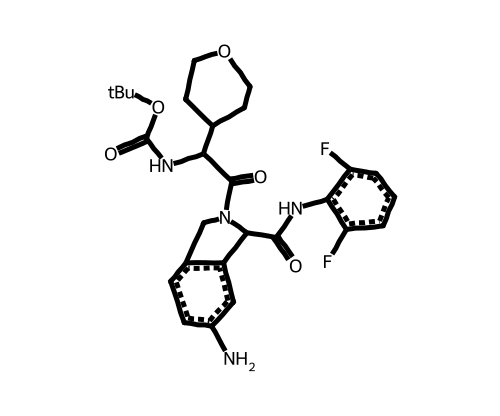 CC(C)(C)OC(=O)NC(C(=O)N1Cc2ccc(N)cc2C1C(=O)Nc1c(F)cccc1F)C1CCOCC1